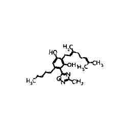 CCCCCc1cc(O)c(C/C=C(\C)CCC=C(C)C)c(O)c1-c1nc(C)no1